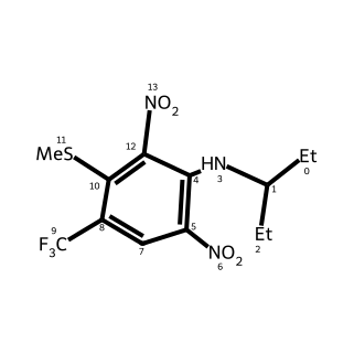 CCC(CC)Nc1c([N+](=O)[O-])cc(C(F)(F)F)c(SC)c1[N+](=O)[O-]